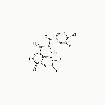 C[C@@H](c1c[nH]c(=O)c2cc(F)c(F)cc12)N(C)C(=O)c1ccc(Cl)c(F)c1